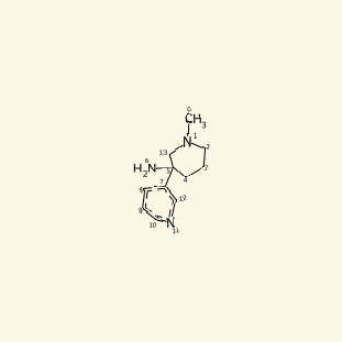 CN1CCCC(N)(c2cccnc2)C1